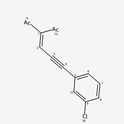 CC(=O)C(=CC#Cc1cccc(Cl)c1)C(C)=O